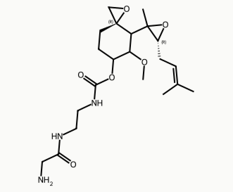 COC1C(OC(=O)NCCNC(=O)CN)CC[C@]2(CO2)C1C1(C)O[C@@H]1CC=C(C)C